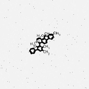 Cc1ccc2c(c1)C(C)(C)c1c-2ccc2c(-c3c(C)c(C)cc4c3oc3ccccc34)[n+](C)ccc12